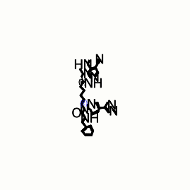 CCC[C@H](CCC/C=C/N(C(=O)NCc1ccccc1)c1ccc(-c2cnn(C)c2)cn1)Nc1ncc(C#N)c(NC)n1